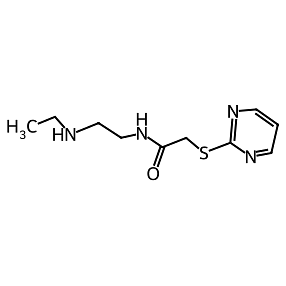 CCNCCNC(=O)CSc1ncccn1